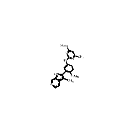 CNc1cc(C)nc(NC2=CC(c3[nH]c4cnccc4c3C)=C(OC)CC2)n1